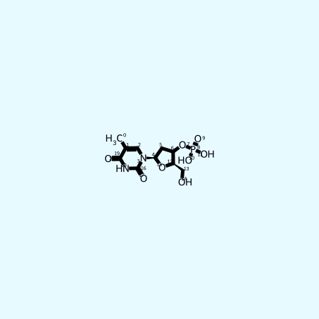 Cc1cn([C@H]2CC(OP(=O)(O)O)[C@@H](CO)O2)c(=O)[nH]c1=O